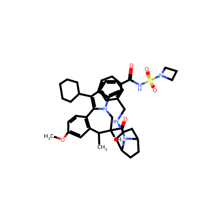 COc1ccc2c(c1)C(C)C(C)(C(=O)N1C3CCC1CC(NCc1ccccc1)C3)Cn1c-2c(C2CCCCC2)c2c1=CC(C(=O)NS(=O)(=O)N1CCC1)CC=2